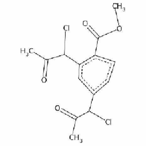 COC(=O)c1ccc(C(Cl)C(C)=O)cc1C(Cl)C(C)=O